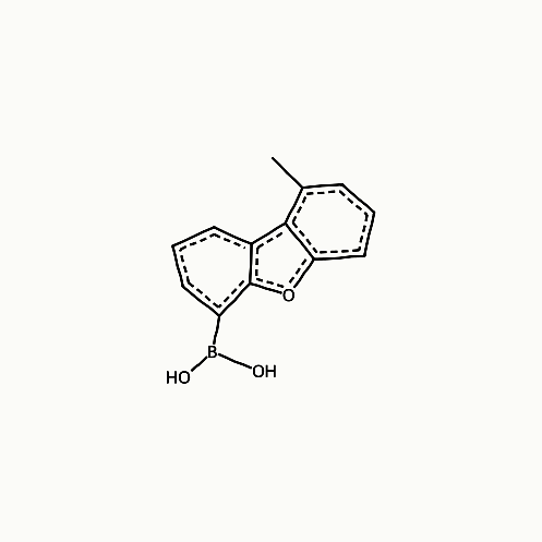 Cc1cccc2oc3c(B(O)O)cccc3c12